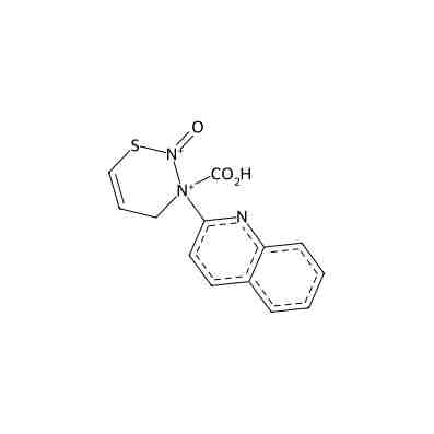 O=C(O)[N+]1(c2ccc3ccccc3n2)CC=CS[N+]1=O